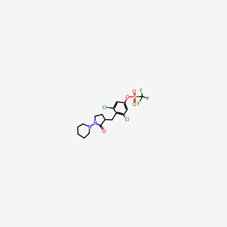 O=C1C(Cc2c(Cl)cc(OS(=O)(=O)C(F)(F)F)cc2Cl)CCN1N1CCCCC1